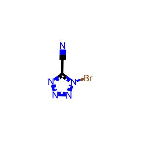 N#Cc1nnnn1Br